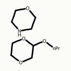 C1COCCN1.CCCOC1COCCO1